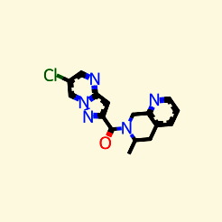 CC1Cc2cccnc2CN1C(=O)c1cc2ncc(Cl)cn2n1